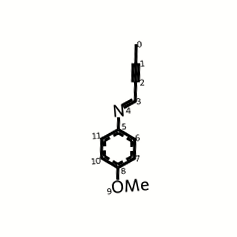 CC#CC=Nc1ccc(OC)cc1